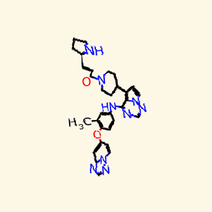 Cc1cc(Nc2ncnn3ccc(C4CCN(C(=O)/C=C/[C@H]5CCCN5)CC4)c23)ccc1Oc1ccn2ncnc2c1